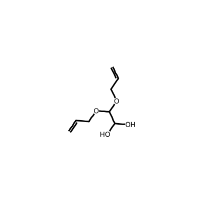 C=CCOC(OCC=C)C(O)O